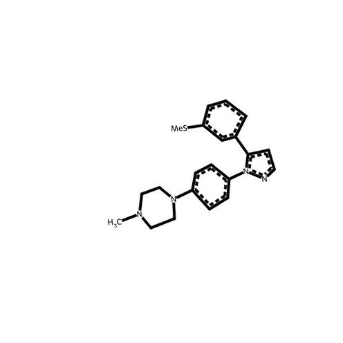 CSc1cccc(-c2ccnn2-c2ccc(N3CCN(C)CC3)cc2)c1